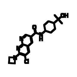 CC(C)(O)C1CCC(NC(=O)c2cnc3nc(N4CCC4)c(Cl)cc3c2)CC1